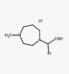 CCC(C(=O)[O-])N1CCCN(C)CC1.[Li+]